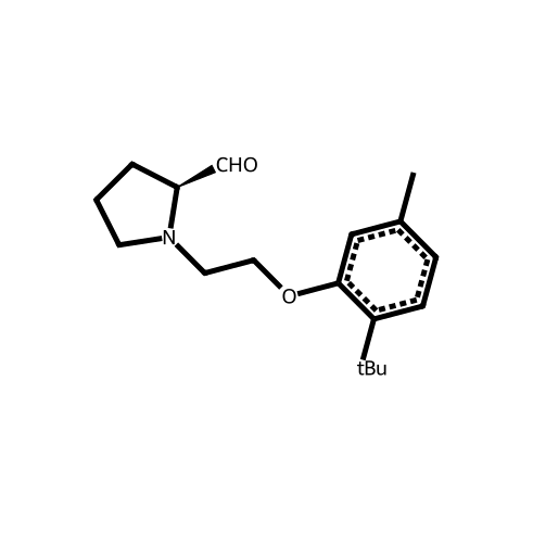 Cc1ccc(C(C)(C)C)c(OCCN2CCC[C@H]2C=O)c1